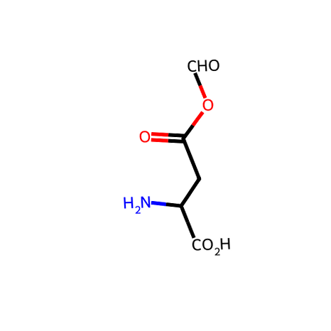 NC(CC(=O)OC=O)C(=O)O